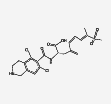 C=C(/C=C\C=C(/C)S(C)(=O)=O)C[C@H](NC(=O)c1c(Cl)cc2c(c1Cl)CCNC2)C(=O)O